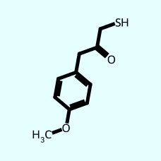 COc1ccc(CC(=O)CS)cc1